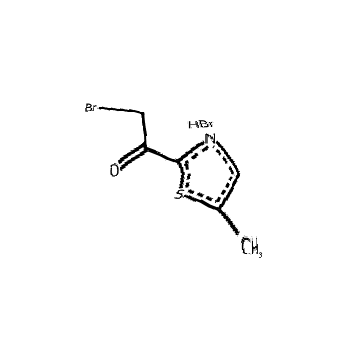 Br.Cc1cnc(C(=O)CBr)s1